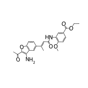 CCOC(=O)c1ccc(OC)c(NC(=O)/C=C(\C)c2ccc3oc(C(C)=O)c(N)c3c2)c1